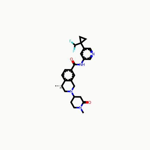 C[C@H]1CN(C2CCN(C)C(=O)C2)Cc2cc(C(=O)Nc3cncc(C4(C(F)F)CC4)c3)ccc21